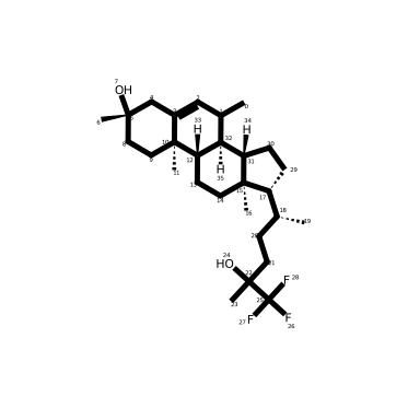 CC1C=C2C[C@@](C)(O)CC[C@]2(C)[C@H]2CC[C@]3(C)[C@@H]([C@H](C)CCC(C)(O)C(F)(F)F)CC[C@H]3[C@H]12